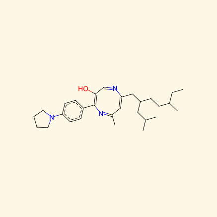 CCC(C)CCC(CC1=C/C(C)=N\C(c2ccc(N3CCCC3)cc2)=C(O)/C=N\1)CC(C)C